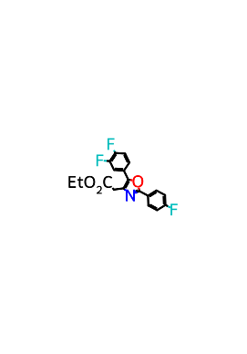 CCOC(=O)Cc1nc(-c2ccc(F)cc2)oc1-c1ccc(F)c(F)c1